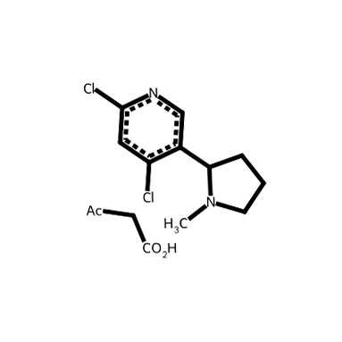 CC(=O)CC(=O)O.CN1CCCC1c1cnc(Cl)cc1Cl